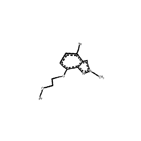 CC(C)OCCOc1ccc(Br)c2cn(C)nc12